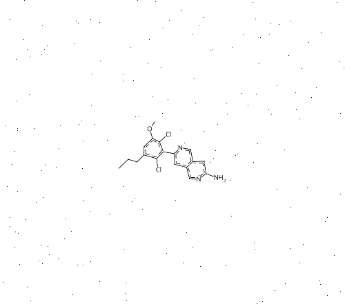 CCCc1cc(OC)c(Cl)c(-c2cc3cnc(N)cc3cn2)c1Cl